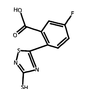 O=C(O)c1cc(F)ccc1-c1nc(S)ns1